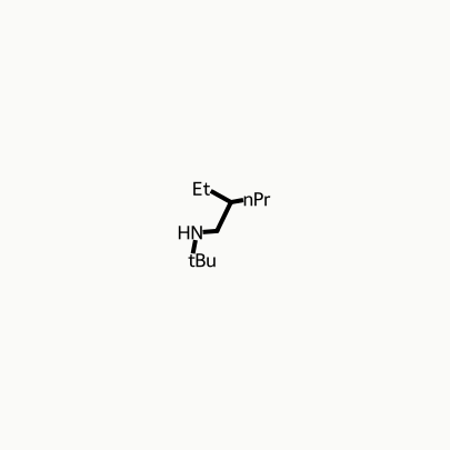 CCCC(CC)CNC(C)(C)C